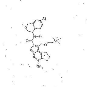 CCN(C(=O)c1cc2nc(N)c3c(c2n1COCC[Si](C)(C)C)COC3)C1COCc2cc(Cl)ccc21